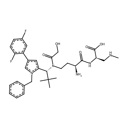 CNC[C@@H](NC(=O)[C@@H](N)CCN(C(=O)CO)[C@@H](c1cc(-c2cc(F)ccc2F)cn1Cc1ccccc1)C(C)(C)C)C(=O)O